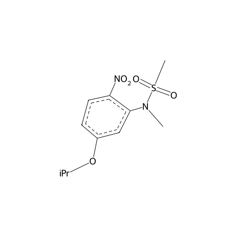 CC(C)Oc1ccc([N+](=O)[O-])c(N(C)S(C)(=O)=O)c1